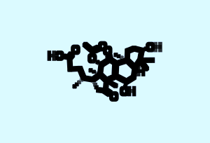 CC(=O)O[C@@H]1C(=O)C2=C([C@@H](O)C[C@H]3C(C)(C)[C@@H](O)CC[C@]23C)[C@]2(C)C(=O)C[C@H]([C@H](C)CCC(=O)O)[C@@]12C